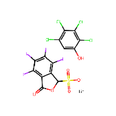 O=C1OC(S(=O)(=O)[O-])c2c(I)c(I)c(I)c(I)c21.Oc1cc(Cl)c(Cl)c(Cl)c1Cl.[Li+]